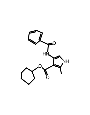 Cc1[nH]cc(NC(=O)c2ccccc2)c1C(=O)OC1CCCCC1